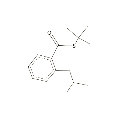 CC(C)Cc1ccccc1C(=O)SC(C)(C)C